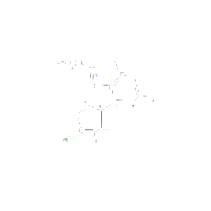 CCOC(=O)/C=C/c1c(C)cc(C)cc1-c1ccc(F)c(C)c1